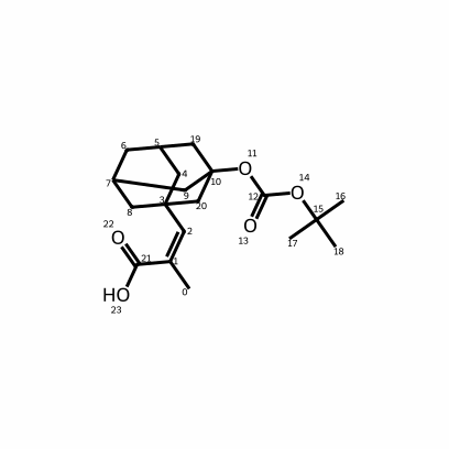 CC(=CC12CC3CC(C1)CC(OC(=O)OC(C)(C)C)(C3)C2)C(=O)O